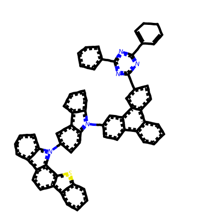 C1=CC(c2nc(-c3ccccc3)nc(-c3ccc4c5ccccc5c5ccc(-n6c7ccccc7c7cc(-n8c9ccccc9c9ccc%10c%11ccccc%11sc%10c98)ccc76)cc5c4c3)n2)=CCC1